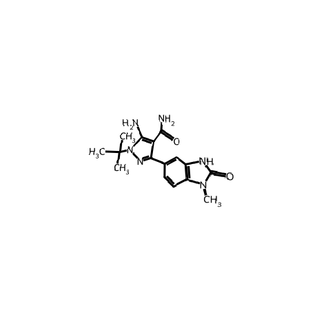 Cn1c(=O)[nH]c2cc(-c3nn(C(C)(C)C)c(N)c3C(N)=O)ccc21